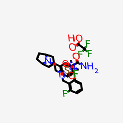 CN(C)S(=O)(=O)N(CCN1C2CCC1CC(c1cccc(C(N)=O)c1)C2)Cc1c(F)cccc1F.O=C(O)C(F)(F)F